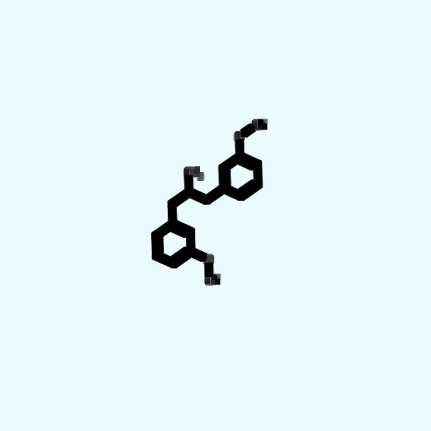 CC(Cc1cccc(OC#N)c1)Cc1cccc(OC#N)c1